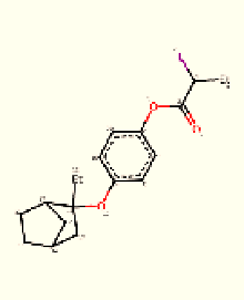 CCC(I)C(=O)Oc1ccc(OC2(CC)CC3CCC2C3)cc1